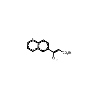 CCOC(=O)C=C(C)c1ccc2ncccc2c1